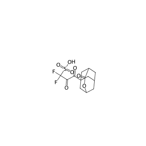 O=C1OC2CC3CC1CC(C(=O)C(=O)C(F)(F)S(=O)(=O)O)(C3)C2